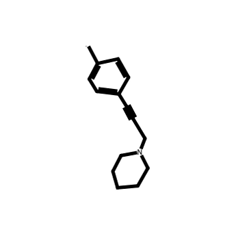 [CH2]c1ccc(C#CCN2CCCCC2)cc1